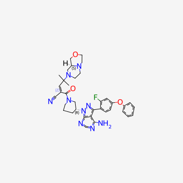 CC(C)(/C=C(/C#N)C(=O)N1CCC[C@@H](n2nc(-c3ccc(Oc4ccccc4)cc3F)c3c(N)ncnc32)C1)N1CCN2CCOC[C@@H]2C1